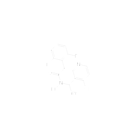 CCN(C(=O)Cc1c(F)cccc1F)C(c1cnccc1C(F)(F)F)C(C)C